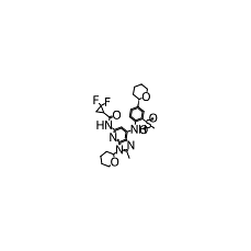 Cc1nc2c(Nc3ccc([C@H]4CCCCO4)cc3S(C)(=O)=O)cc(NC(=O)C3CC3(F)F)nc2n1C1CCCCO1